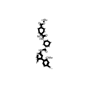 COc1cc(F)ccc1-c1cc(NC(=O)[C@H]2CCC[C@@H](NC(=O)C3(C#N)CCC(C(=O)OC(C)(C)C)CC3)C2)ncc1F